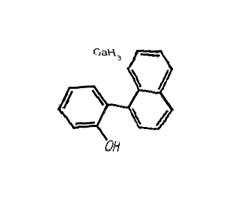 Oc1ccccc1-c1cccc2ccccc12.[GaH3]